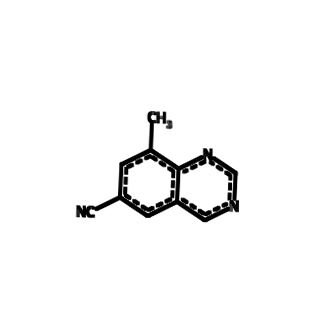 Cc1cc(C#N)cc2cncnc12